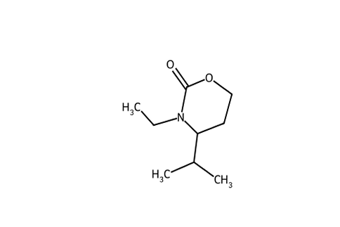 CCN1C(=O)OCCC1C(C)C